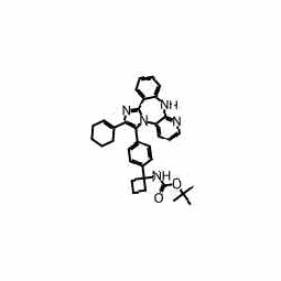 CC(C)(C)OC(=O)NC1(c2ccc(-c3c(C4=CCCCC4)nc4n3-c3cccnc3Nc3ccccc3-4)cc2)CCC1